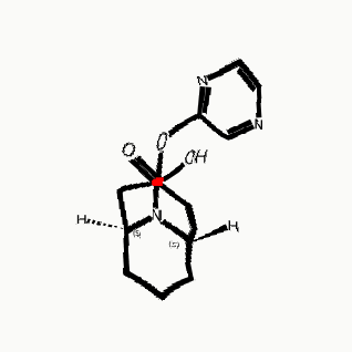 O=C(O)N1[C@H]2CCC[C@H]1CC(Oc1cnccn1)C2